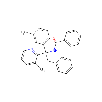 O=C(NC(Cc1ccccc1)(c1cccc(C(F)(F)F)c1)c1ncccc1C(F)(F)F)c1ccccc1